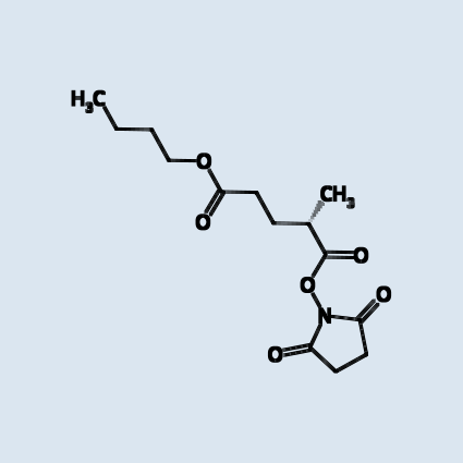 CCCCOC(=O)CC[C@H](C)C(=O)ON1C(=O)CCC1=O